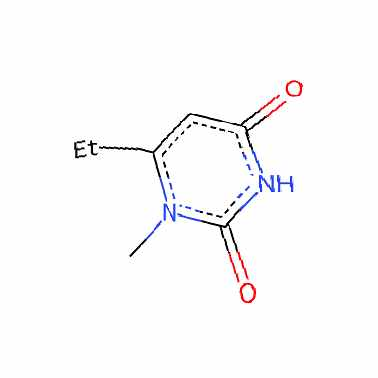 CCc1cc(=O)[nH]c(=O)n1C